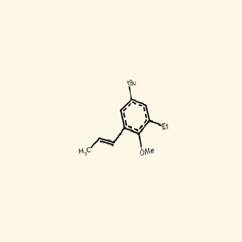 CC=Cc1cc(C(C)(C)C)cc(CC)c1OC